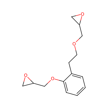 c1ccc(OCC2CO2)c(CCOCC2CO2)c1